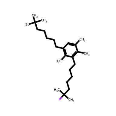 CCC(C)(C)CCCCCc1cc(C)c(C)c(CCCCCC(C)(C)I)c1C